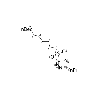 CCCCCCCCCCCCCCCCS(=O)(=O)c1n[nH]c(CCC)n1